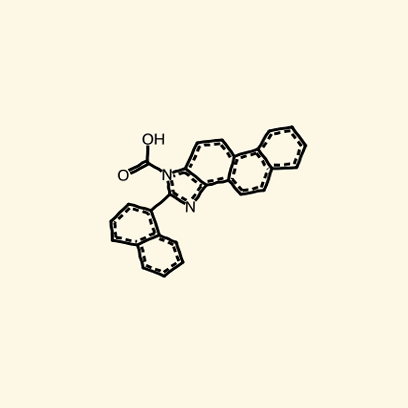 O=C(O)n1c(-c2cccc3ccccc23)nc2c3ccc4ccccc4c3ccc21